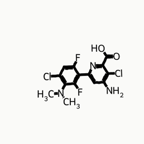 CN(C)c1c(Cl)cc(F)c(-c2cc(N)c(Cl)c(C(=O)O)n2)c1F